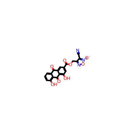 N#Cc1c(COC(=O)c2cc(O)c3c(c2)C(=O)c2cccc(O)c2C3=O)no[n+]1[O-]